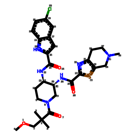 COCC(C)(C)C(=O)N1CC[C@H](NC(=O)c2cc3cc(Cl)ccc3[nH]2)[C@H](NC(=O)c2nc3c(s2)CN(C)CC3)C1